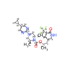 C[C@@H](Cc1c[nH]c(=O)c(C(F)(F)F)c1)OC(=O)N1[C@@H](C)CN(c2ncc(C3CC3)cn2)C[C@@H]1C